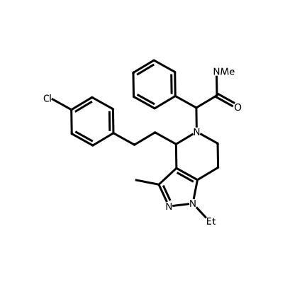 CCn1nc(C)c2c1CCN(C(C(=O)NC)c1ccccc1)C2CCc1ccc(Cl)cc1